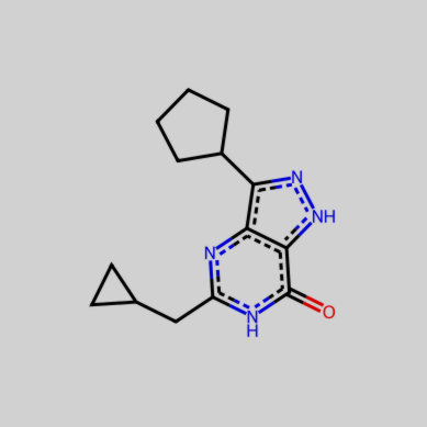 O=c1[nH]c(CC2CC2)nc2c(C3CCCC3)n[nH]c12